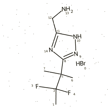 Br.CC(F)(F)C(C)(C)c1n[nH]c(CN)n1